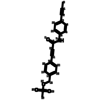 CC#Cc1ccc(NC(=O)C#Cc2ccc(COS(C)(=O)=O)cc2)cc1